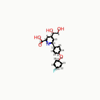 O=C(O)c1cc(C(O)CO)cc(-c2ccc(Oc3ccc(F)cc3)cc2)n1